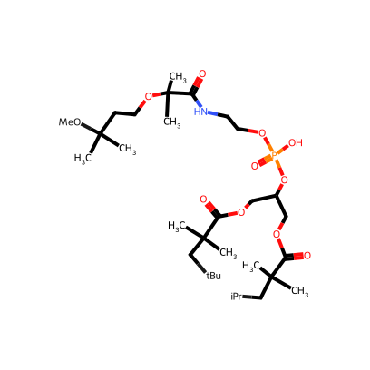 COC(C)(C)CCOC(C)(C)C(=O)NCCOP(=O)(O)OC(COC(=O)C(C)(C)CC(C)C)COC(=O)C(C)(C)CC(C)(C)C